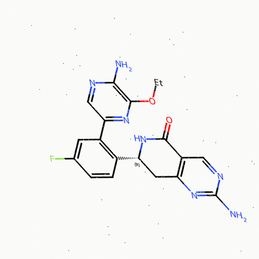 CCOc1nc(-c2cc(F)ccc2[C@H]2Cc3nc(N)ncc3C(=O)N2)cnc1N